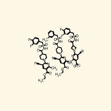 CCOC(=O)c1cc(C#N)c(N2CCC(C(=O)NS(=O)(=O)Cc3ccc(F)c(F)c3)CC2)nc1C.CCOC(=O)c1cc(C#N)c(N2CCC(C(=O)NS(=O)(=O)Cc3cccc(C)c3)CC2)nc1C.Cc1nc(N2CC(C(=O)NS(=O)(=O)Cc3ccc(F)c(F)c3)C2)c(C#N)cc1C(=O)O